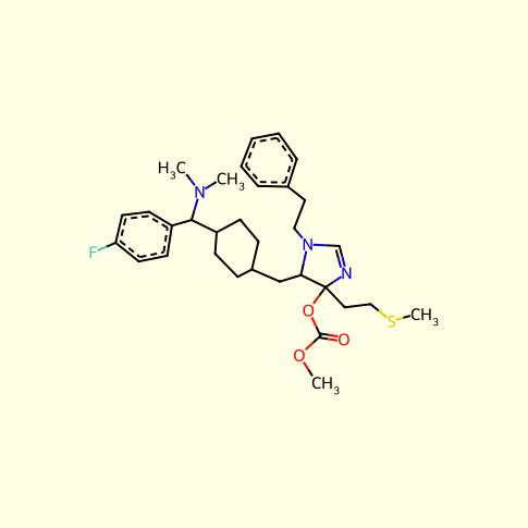 COC(=O)OC1(CCSC)N=CN(CCc2ccccc2)C1CC1CCC(C(c2ccc(F)cc2)N(C)C)CC1